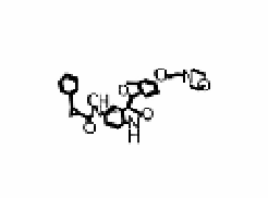 CN(C(=O)C1CC1c1ccccc1)c1ccc2c(c1)C(=C1OCc3cc(OCCN4CCOCC4)ccc31)C(=O)N2